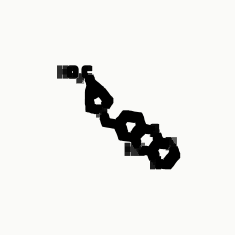 O=C(O)C1C2CN(Cc3ccc4c(c3)Nc3nccnc3S4)CC21